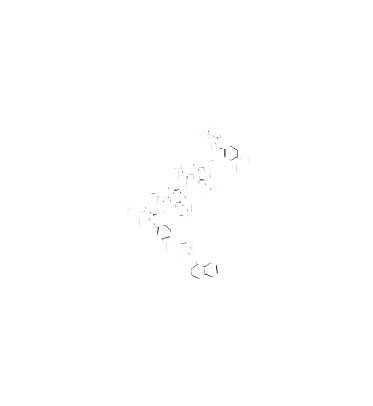 CCCCN(C)C(=O)Nc1ccc(Cl)c(Cl)c1.CCNc1nc(Cl)nc(NC(C)C)n1.CCNc1nc(NC(C)C)nc(SC)n1.CNC(=O)Oc1cccc2ccccc12.CON(C)C(=O)Nc1ccc(Cl)c(Cl)c1